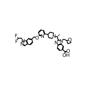 C[C@@H](c1nc2ccc(C(=O)O)cc2n1CC1CCO1)N1CCC(c2cccc(OCc3ccc4cnn(CC(F)F)c4c3)n2)CC1